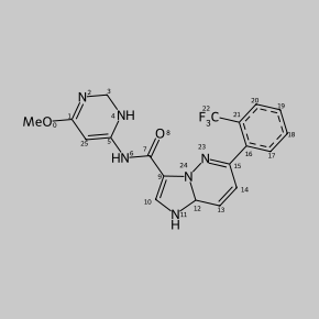 COC1=NCNC(NC(=O)C2=CNC3C=CC(c4ccccc4C(F)(F)F)=NN23)=C1